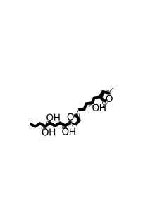 CCC[C@@H](O)[C@H](O)CC[C@H](O)[C@@H]1CC[C@@H](CCC[C@@H](O)CC2=C[C@H](C)O[C@@H]2C)O1